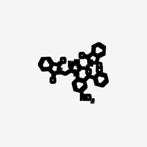 O=C(c1ccccc1Cl)c1cc([N+](=O)[O-])ccc1-n1c(CN2C(=O)c3ccccc3C2=O)nnc1CN1C(=O)c2ccccc2C1=O